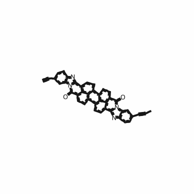 C#Cc1ccc2nc3c4ccc5c6ccc7c(=O)n8c9cc(C#CC)ccc9nc8c8ccc(c9ccc(c(=O)n3c2c1)c4c95)c6c78